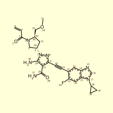 C=CC(=O)N1C[C@@H](n2nc(C#Cc3cc4ncn(C5CC5)c4cc3F)c(C(N)=O)c2N)C[C@@H]1COC